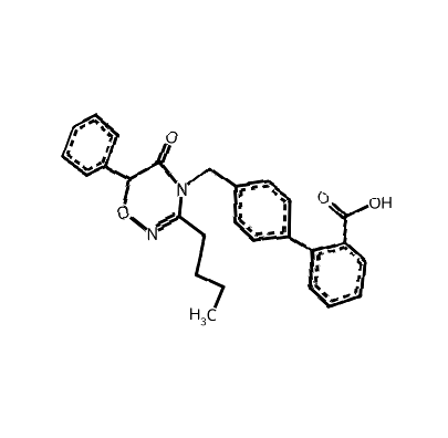 CCCCC1=NOC(c2ccccc2)C(=O)N1Cc1ccc(-c2ccccc2C(=O)O)cc1